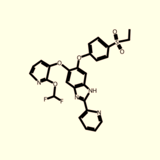 CCS(=O)(=O)c1ccc(Oc2cc3[nH]c(-c4ccccn4)nc3cc2Oc2cccnc2OC(F)F)cc1